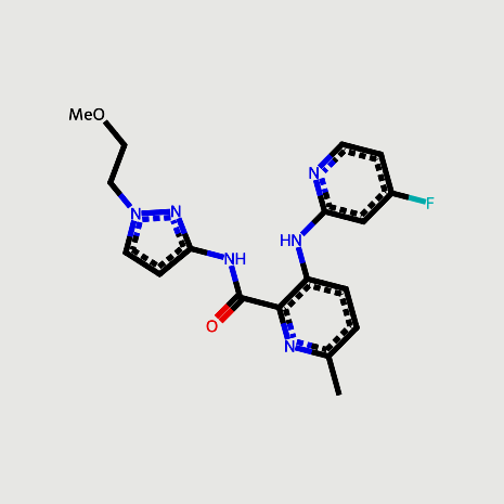 COCCn1ccc(NC(=O)c2nc(C)ccc2Nc2cc(F)ccn2)n1